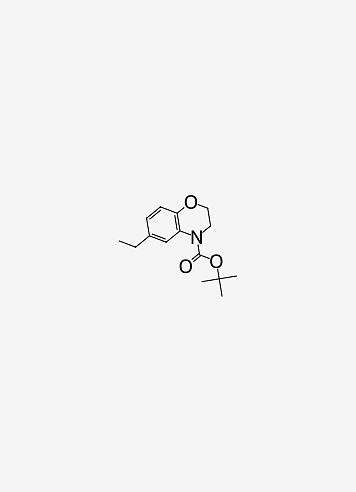 CCc1ccc2c(c1)N(C(=O)OC(C)(C)C)CCO2